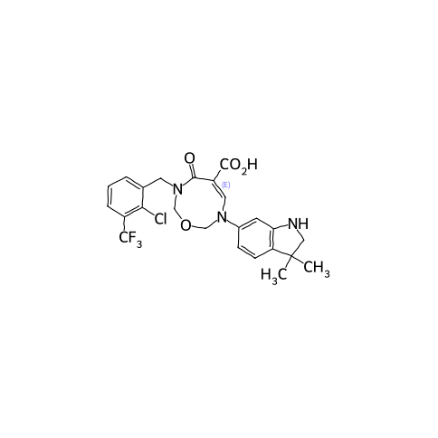 CC1(C)CNc2cc(N3/C=C(/C(=O)O)C(=O)N(Cc4cccc(C(F)(F)F)c4Cl)COC3)ccc21